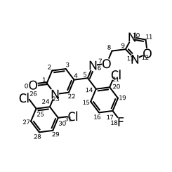 O=c1ccc(C(=NOCc2ncon2)c2ccc(F)cc2Cl)cn1-c1c(Cl)cccc1Cl